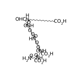 NC(=O)CC[C@H](NC(=O)CCC(NC(=O)COCCOCCNC(=O)COCCOCCNC(=O)CC[C@@H](C=O)NC(=O)CCCCCCCCCCCCCCCCC(=O)O)C(=O)O)C(=O)O